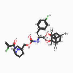 C=C(F)C(=O)N1C2CCC1(COC(=O)N[C@@H](Cc1ccc(F)cc1)B1O[C@@H]3C[C@@H]4C[C@@H](C4(C)C)[C@]3(C)O1)CC2